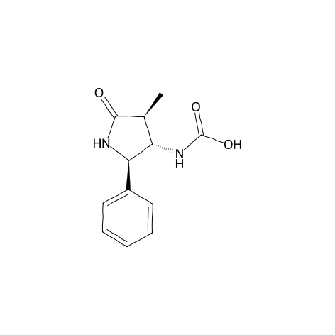 C[C@@H]1C(=O)N[C@H](c2ccccc2)[C@H]1NC(=O)O